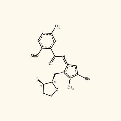 COc1ccc(C(F)(F)F)cc1C(=O)N=c1cc(C(C)(C)C)n(C)n1C[C@H]1OCC[C@H]1F